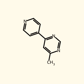 Cc1cc(-c2ccncc2)ncn1